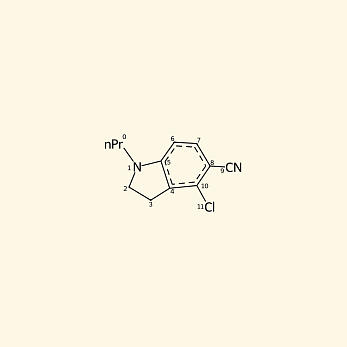 CCCN1CCc2c1ccc(C#N)c2Cl